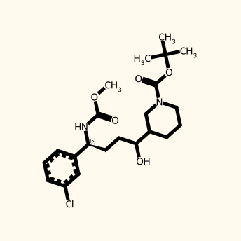 COC(=O)N[C@@H](CCC(O)C1CCCN(C(=O)OC(C)(C)C)C1)c1cccc(Cl)c1